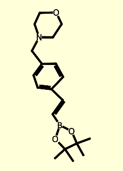 CC1(C)OB(C=Cc2ccc(CN3CCOCC3)cc2)OC1(C)C